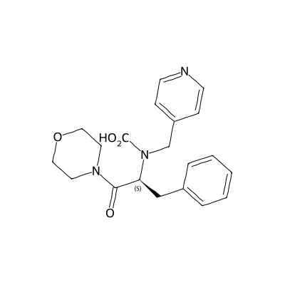 O=C([C@H](Cc1ccccc1)N(Cc1ccncc1)C(=O)O)N1CCOCC1